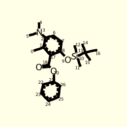 Cc1c(N(C)C)ccc(O[Si](C)(C)C(C)(C)C)c1C(=O)Oc1ccccc1